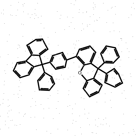 c1ccc(C2(c3ccc(-c4cccc5c4Oc4ccccc4C5(c4ccccc4)c4ccccc4)cc3)c3ccccc3-c3ccccc32)cc1